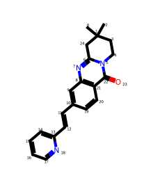 CC1(C)CCn2c(nc3cc(/C=C/c4ccccn4)ccc3c2=O)C1